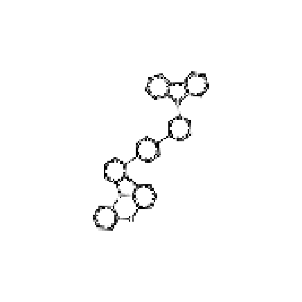 c1cc(-c2ccc(-c3cccc4c3c3cccc5c3n4-c3ccccc3O5)cc2)cc(-n2c3ccccc3c3ccccc32)c1